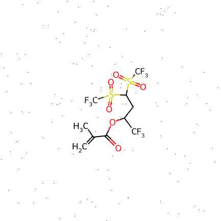 C=C(C)C(=O)OC(CC(S(=O)(=O)C(F)(F)F)S(=O)(=O)C(F)(F)F)C(F)(F)F